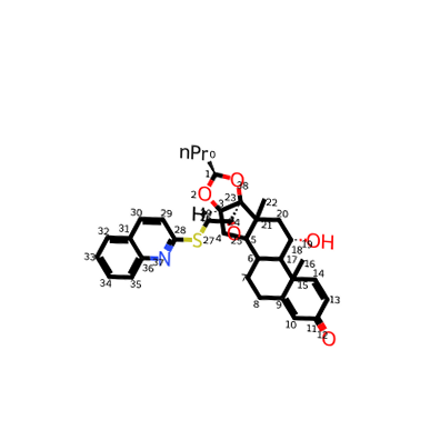 CCC[C@@H]1O[C@@H]2CC3C4CCC5=CC(=O)C=CC5(C)C4[C@@H](O)CC3(C)[C@]2(C(=O)CSc2ccc3ccccc3n2)O1